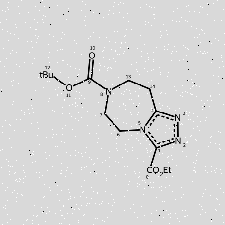 CCOC(=O)c1nnc2n1CCN(C(=O)OC(C)(C)C)CC2